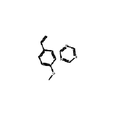 C=Cc1ccc(OC)cc1.c1ncncn1